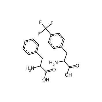 NC(Cc1ccc(C(F)(F)F)cc1)C(=O)O.NC(Cc1ccccc1)C(=O)O